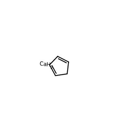 C1=CCC=C1.[CaH2]